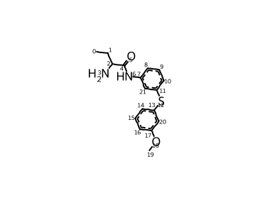 CCC(N)C(=O)Nc1cccc(Sc2cccc(OC)c2)c1